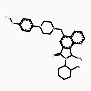 COc1ccc(N2CCN(Cc3cc4c(c5ncccc35)C(C)N(C3CCCCC3O)C4=O)CC2)cc1